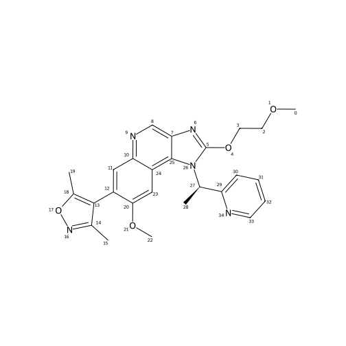 COCCOc1nc2cnc3cc(-c4c(C)noc4C)c(OC)cc3c2n1[C@H](C)c1ccccn1